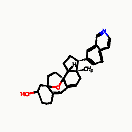 C[C@]12CC=C3C=C4CCC(O)C[C@]45CC[C@]3(O5)[C@@H]1CC[C@@H]2c1ccc2ccncc2c1